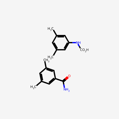 Cc1cc(C)cc(C(N)=O)c1.Cc1cc(C)cc(NC(=O)O)c1